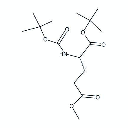 COC(=O)CC[C@H](NC(=O)OC(C)(C)C)C(=O)OC(C)(C)C